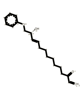 C=CC(=O)CCCCCCC/C=C/[C@@H](O)COc1ccccc1